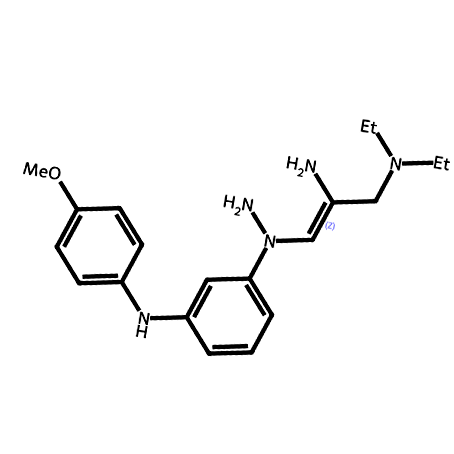 CCN(CC)C/C(N)=C/N(N)c1cccc(Nc2ccc(OC)cc2)c1